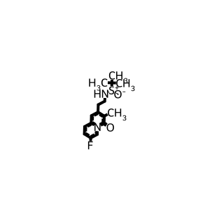 Cc1c(CCN[S@@+]([O-])C(C)(C)C)cc2ccc(F)cn2c1=O